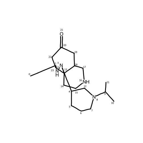 CC1NN(C2CCCN(C(C)C)C2)C23CCNCC2CC(=O)CC13